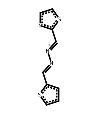 C(=N/N=C/c1nccs1)c1cccs1